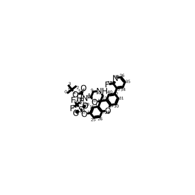 CC(C)(C)OC(=O)N[C@@H]1CNCC2(O1)c1cc(OS(=O)(=O)C(F)(F)F)ccc1Oc1ccc(-c3cccnc3F)cc12